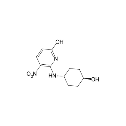 O=[N+]([O-])c1ccc(O)nc1N[C@H]1CC[C@H](O)CC1